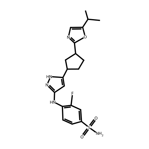 CC(C)c1cnc(C2CCC(c3cc(Nc4ccc(S(N)(=O)=O)cc4F)n[nH]3)C2)o1